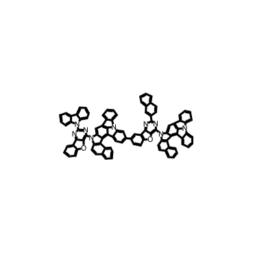 c1ccc2cc(-c3nc(-n4c5ccc6ccccc6c5c5c6c7ccccc7n7c8ccccc8c(cc54)c67)c4oc5ccc(-c6ccc7c8c9c%10c%11ccccc%11ccc%10n(-c%10nc(-n%11c%12ccccc%12c%12ccccc%12%11)nc%11c%10oc%10ccccc%10%11)c9cc9c%10ccccc%10n(c7c6)c98)cc5c4n3)ccc2c1